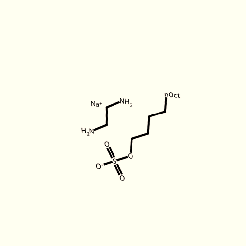 CCCCCCCCCCCCOS(=O)(=O)[O-].NCCN.[Na+]